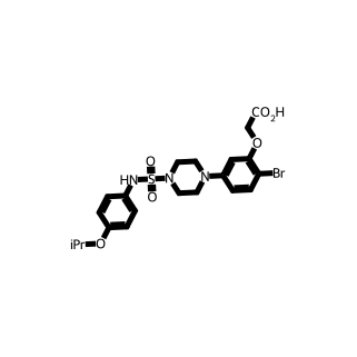 CC(C)Oc1ccc(NS(=O)(=O)N2CCN(c3ccc(Br)c(OCC(=O)O)c3)CC2)cc1